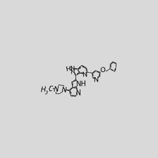 CN1CCN(c2ccnc3[nH]c(-c4n[nH]c5ccc(-c6cncc(OCc7ccccc7)c6)nc45)cc23)CC1